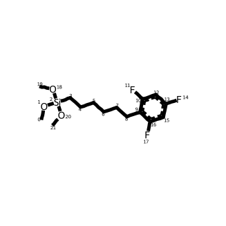 CO[Si](CCCCCCc1c(F)cc(F)cc1F)(OC)OC